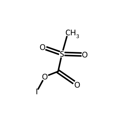 CS(=O)(=O)C(=O)OI